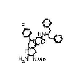 CN[C@@H](Cc1ncc(-c2ccc(F)cc2)n(CC(=O)NC(Cc2ccccc2)Cc2ccccc2)c1=O)C(N)=O